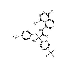 Cc1ccc(CC(O)(C(=O)Nc2cccc3c(=O)onc(C)c23)c2ccc(C(F)(F)F)cc2)cc1